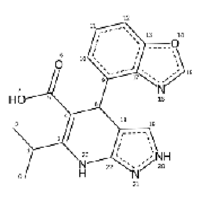 CC(C)C1=C(C(=O)O)C(c2cccc3ocnc23)c2c[nH]nc2N1